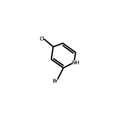 Cl[C]1C=CNC(Br)=C1